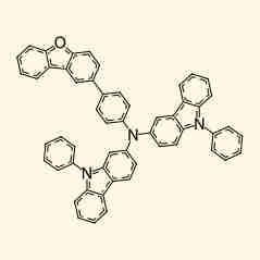 c1ccc(-n2c3ccccc3c3cc(N(c4ccc(-c5ccc6oc7ccccc7c6c5)cc4)c4ccc5c6ccccc6n(-c6ccccc6)c5c4)ccc32)cc1